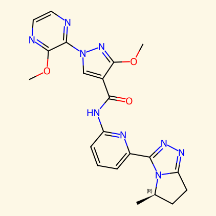 COc1nn(-c2nccnc2OC)cc1C(=O)Nc1cccc(-c2nnc3n2[C@H](C)CC3)n1